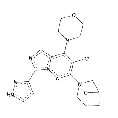 Clc1c(N2CC3CC(C2)O3)nn2c(-c3cc[nH]n3)ncc2c1N1CCOCC1